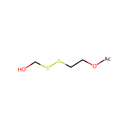 CC(=O)OCCSSCO